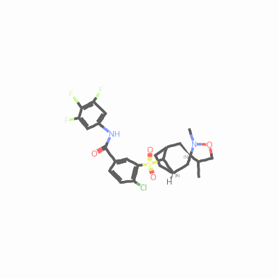 CC1CON(C)[C@]12CC1CC[C@H](C2)C1S(=O)(=O)c1cc(C(=O)Nc2cc(F)c(F)c(F)c2)ccc1Cl